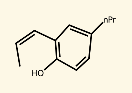 C[C]Cc1ccc(O)c(/C=C\C)c1